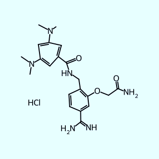 CN(C)c1cc(C(=O)NCc2ccc(C(=N)N)cc2OCC(N)=O)cc(N(C)C)c1.Cl